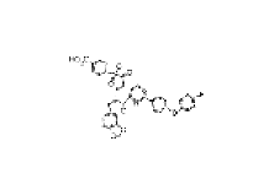 O=C(O)c1ccc(S(=O)(=O)C(=O)C=CC(=Cc2ccc3c(c2)OCO3)C(=O)c2cccc(-c3ccc(Oc4ccc(F)cc4)cc3)n2)cc1